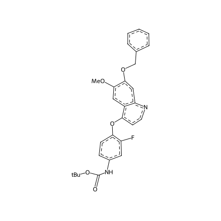 COc1cc2c(Oc3ccc(NC(=O)OC(C)(C)C)cc3F)ccnc2cc1OCc1ccccc1